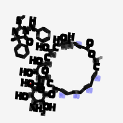 CSC1=N[C@@](C)(c2ccccc2)C(=O)N1Nc1ccccc1.C[C@@H]1C/C=C/C=C/C=C/C=C/[C@H](O[C@@H]2O[C@H](C)[C@@H](O)[C@H](N)[C@@H]2O)C[C@@H]2O[C@](O)(C[C@@H](O)C[C@H]3O[C@@H]3/C=C/C(=O)O1)C[C@H](O)[C@H]2C(=O)O